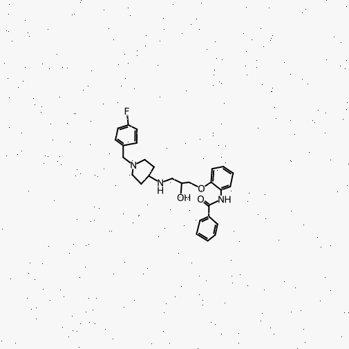 O=C(Nc1ccccc1OCC(O)CNC1CCN(Cc2ccc(F)cc2)CC1)c1ccccc1